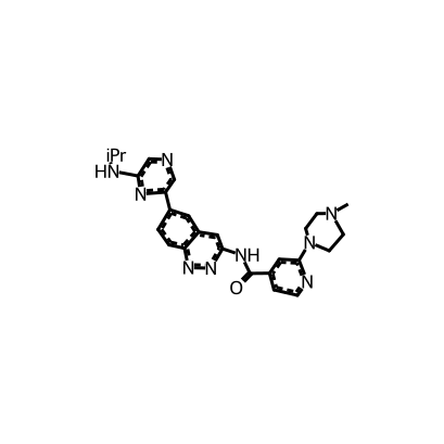 CC(C)Nc1cncc(-c2ccc3nnc(NC(=O)c4ccnc(N5CCN(C)CC5)c4)cc3c2)n1